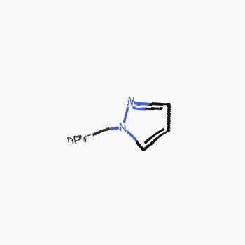 C[CH]Cn1cccn1